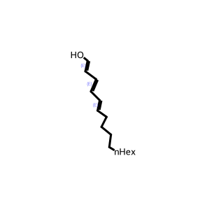 CCCCCCCCCC/C=C/C=C/C=C/O